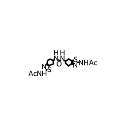 CC(=O)Nc1nc2c(s1)CC(NC(=O)NC1CCc3nc(NC(C)=O)sc3C1)CC2